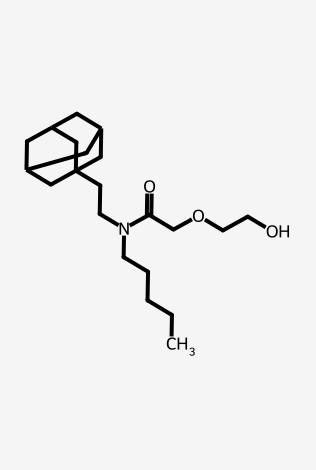 CCCCCN(CCC12CC3CC(CC(C3)C1)C2)C(=O)COCCO